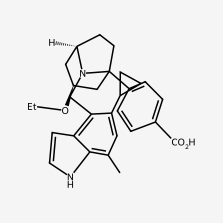 CCO[C@H]1C[C@H]2CCC(c3ccc(C(=O)O)cc3)(C1)N2Cc1c(C2CC2)cc(C)c2[nH]ccc12